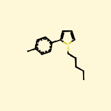 CCCCC[SH]1C=CC=C1c1ccc(C)cc1